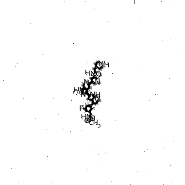 CS(=O)(=O)NCc1cc(F)cc(-c2ccnc3[nH]c(-c4n[nH]c5cnc(-c6cncc(NC(=O)CC7CCNCC7)c6)cc45)cc23)c1